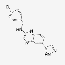 Clc1ccc(CNc2cnc3cc(-c4cn[nH]c4)ccc3n2)cc1